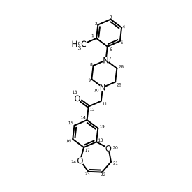 Cc1ccccc1N1CCN(CC(=O)c2ccc3c(c2)OCC=CO3)CC1